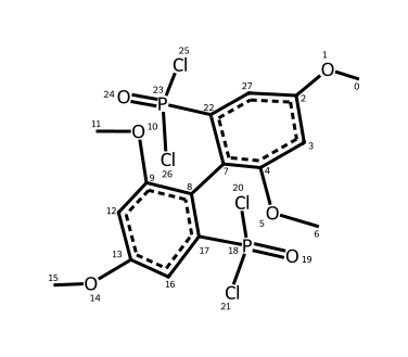 COc1cc(OC)c(-c2c(OC)cc(OC)cc2P(=O)(Cl)Cl)c(P(=O)(Cl)Cl)c1